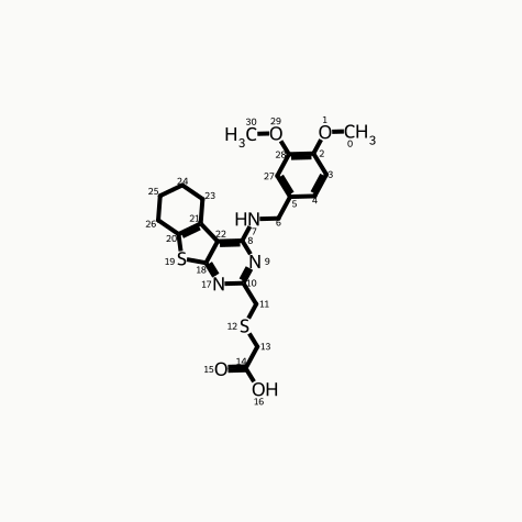 COc1ccc(CNc2nc(CSCC(=O)O)nc3sc4c(c23)CCCC4)cc1OC